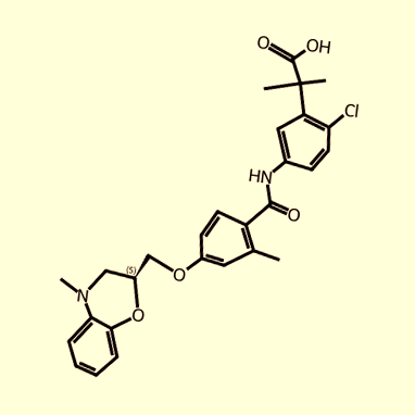 Cc1cc(OC[C@@H]2CN(C)c3ccccc3O2)ccc1C(=O)Nc1ccc(Cl)c(C(C)(C)C(=O)O)c1